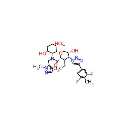 Cc1c(F)cc(-c2cn([C@@H]3[C@@H](O)[C@@H](CO)O[C@@H](C(=O)N(Cc4ccnn4C)[C@H]4CCCC[C@@H]4O)[C@@H]3CC(=O)O)nn2)cc1F